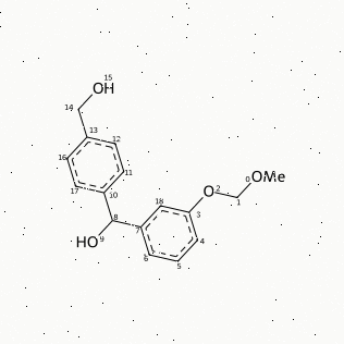 COCOc1cc[c]c(C(O)c2ccc(CO)cc2)c1